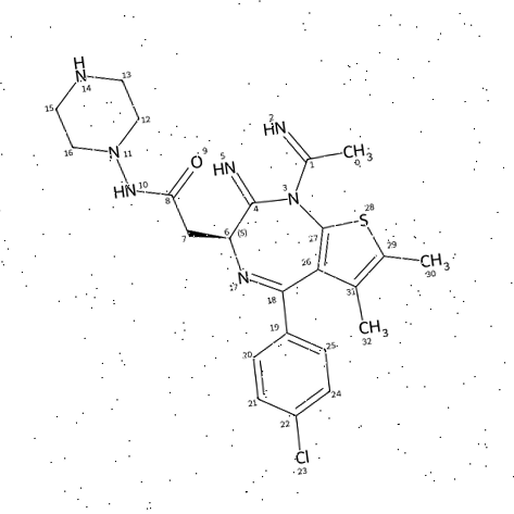 CC(=N)N1C(=N)[C@H](CC(=O)NN2CCNCC2)N=C(c2ccc(Cl)cc2)c2c1sc(C)c2C